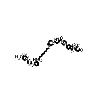 CC1(N)CCN(c2cnc(Sc3cccc(NC(=O)CCCCCCCCN4CC5CCN(c6ccc(C(=O)N7CCN(c8ccc9c(c8)C(=O)N(C8CCC(=O)NC8=O)C9=O)CC7)nn6)CC4C5)c3)cn2)CC1